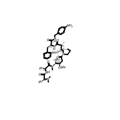 CC[C@H](C)[C@@H]([C@@H](CC(=O)N1CCC[C@H]1[C@H](OC)[C@@H](C)C(=O)N[C@@H](Cc1ccccc1)C(=O)NCc1ccc(N)cc1)OC)N(C)C(=O)[C@@H](NC(=O)[C@H](C(C)C)N(C)C)C(C)C